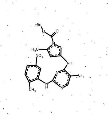 Cc1ccc([N+](=O)[O-])cc1Nc1ncc(C(F)(F)F)c(Nc2cc(C)n(C(=O)OC(C)(C)C)n2)n1